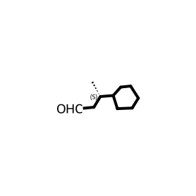 C[C@@H](CC=O)C1CCCCC1